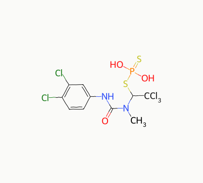 CN(C(=O)Nc1ccc(Cl)c(Cl)c1)C(SP(O)(O)=S)C(Cl)(Cl)Cl